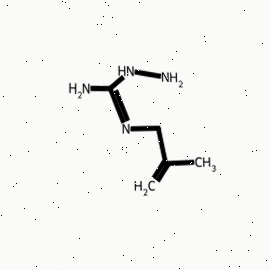 C=C(C)C/N=C(/N)NN